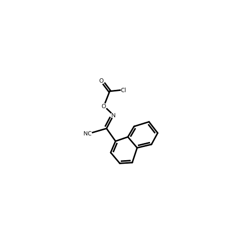 N#CC(=NOC(=O)Cl)c1cccc2ccccc12